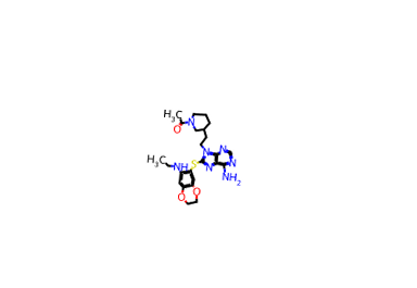 CCNc1cc2c(cc1Sc1nc3c(N)ncnc3n1CCC1CCCN(C(C)=O)C1)OCCO2